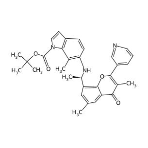 Cc1cc([C@@H](C)Nc2ccc3ccn(C(=O)OC(C)(C)C)c3c2C)c2oc(-c3cccnc3)c(C)c(=O)c2c1